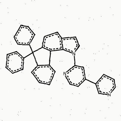 c1ccc(C2(c3ccccc3)c3ccccc3-c3c2ccc2ccn(-c4cc(-c5cccnc5)ccn4)c32)cc1